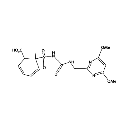 COc1cc(OC)nc(CNC(=O)NS(=O)(=O)C2(C)C=CC=CC2C(=O)O)n1